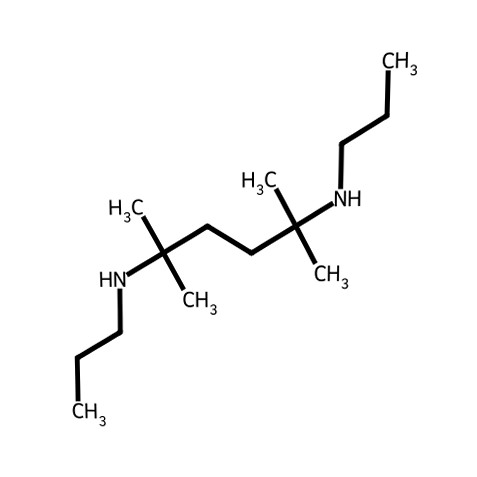 CCCNC(C)(C)CCC(C)(C)NCCC